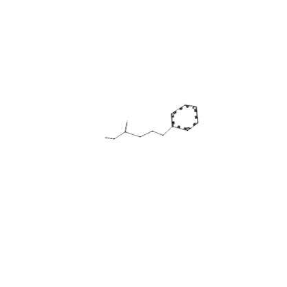 CCC([O])CCCc1ccccc1